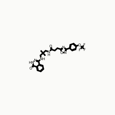 CC(C)(CNC(=O)CCc1nc(-c2ccc(OC(F)(F)F)cc2)no1)CNc1n[nH]c(=O)c2ccccc12